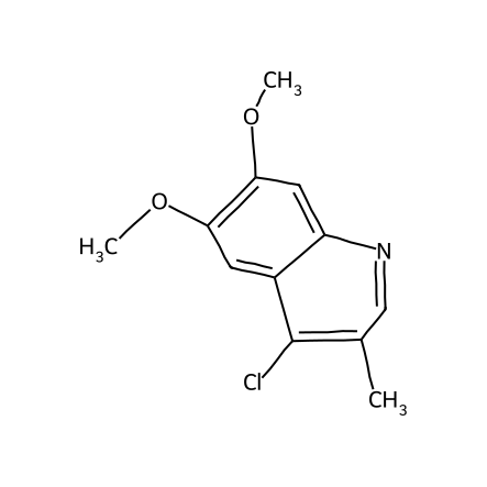 COc1cc2ncc(C)c(Cl)c2cc1OC